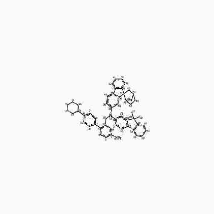 CC(C)c1ccc(-c2ccc(C3CCCCC3)cc2)c(CN(c2ccc3c(c2)C(C)(C)c2ccccc2-3)c2ccc3c(c2)C2(CC4CCC2C4)c2ccccc2-3)c1